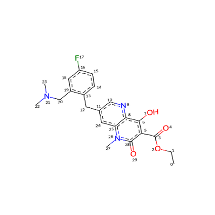 CCOC(=O)c1c(O)c2ncc(Cc3ccc(F)cc3CN(C)C)cc2n(C)c1=O